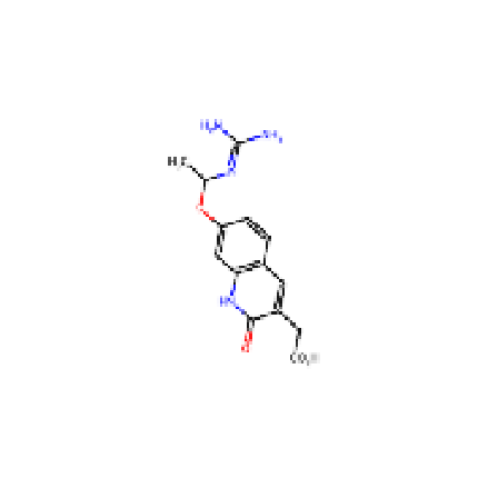 CC(N=C(N)N)Oc1ccc2cc(CC(=O)O)c(=O)[nH]c2c1